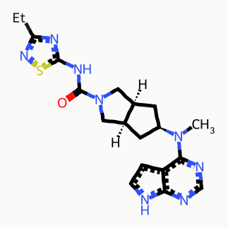 CCc1nsc(NC(=O)N2C[C@H]3C[C@@H](N(C)c4ncnc5[nH]ccc45)C[C@H]3C2)n1